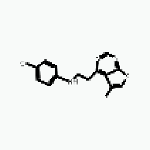 Cc1csc2ncnc(CCNc3ccc(Cl)cc3)c12